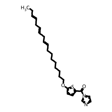 CCC=CCC=CCC=CCCCCCCCCOc1ccc(C(=O)n2ccnc2)s1